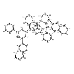 c1ccc(-c2nc(-c3ccc4ccccc4c3)cc(-c3ccc(-c4cccc5c4C(c4ccccc4)(c4ccccc4)c4cc6ccccc6cc4-5)c4ccccc34)n2)cc1